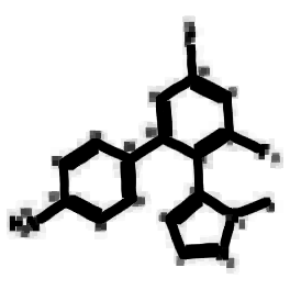 Cn1nccc1-c1c(F)cc(F)cc1-c1ccc(N)cc1